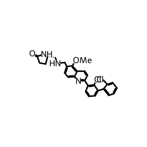 COc1c(CNC[C@@H]2CCC(=O)N2)ccc2nc(-c3cccc(-c4ccccc4Cl)c3Cl)ccc12